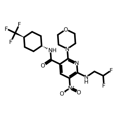 O=C(N[C@H]1CC[C@H](C(F)(F)F)CC1)c1cc([N+](=O)[O-])c(NCC(F)F)nc1N1CCOCC1